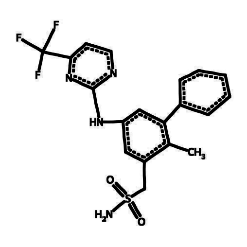 Cc1c(CS(N)(=O)=O)cc(Nc2nccc(C(F)(F)F)n2)cc1-c1ccccc1